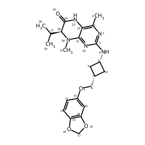 Cc1nc(N[C@H]2C[C@@H](COc3ccc4c(c3)OCO4)C2)nc2c1NC(=O)[C@H](C(C)C)N2C